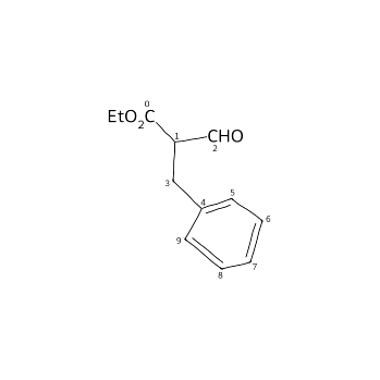 CCOC(=O)C(C=O)Cc1ccccc1